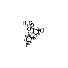 COC(=O)c1cc(Cl)ccc1Oc1ccc(F)cc1F